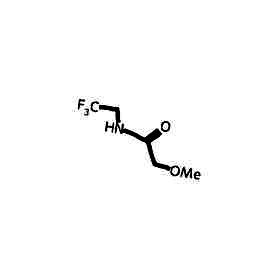 COCC(=O)NCC(F)(F)F